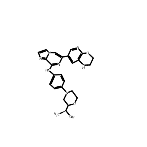 C[C@H](O)C1CN(c2ccc(Nc3nc(-c4cnc5c(c4)NCCO5)cn4ccnc34)cc2)CCO1